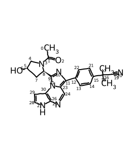 CC(=O)N1C[C@H](O)C[C@@H]1c1nc(-c2ccc(C(C)(C)C#N)cc2)c2cnc3[nH]ccc3n12